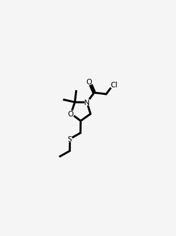 CCSCC1CN(C(=O)CCl)C(C)(C)O1